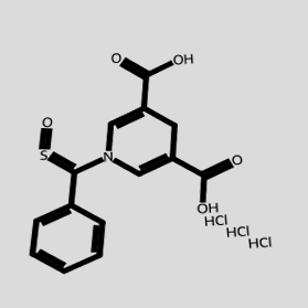 Cl.Cl.Cl.O=S=C(c1ccccc1)N1C=C(C(=O)O)CC(C(=O)O)=C1